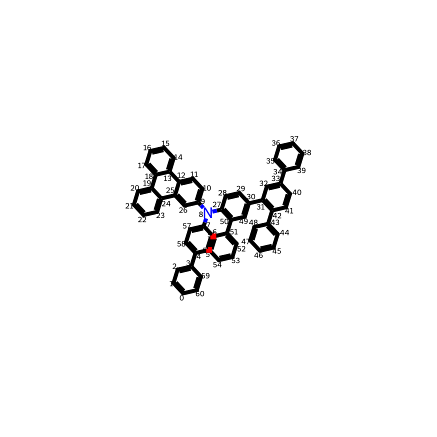 c1ccc(-c2ccc(N(c3ccc4c5ccccc5c5ccccc5c4c3)c3ccc(-c4cc(-c5ccccc5)ccc4-c4ccccc4)cc3-c3ccccc3)cc2)cc1